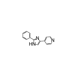 c1ccc(-c2nc(-c3ccncc3)c[nH]2)cc1